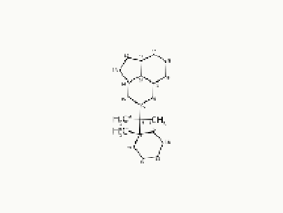 CC1(C(C)(C)C2CC3CCCC4CCC(C2)C43)CCCCC1